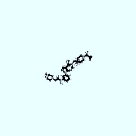 O=C(CN1CCS(=O)(=O)CC1)Nc1cccc(-n2ncc3c(=O)n(CC4(O)CCN(C(=O)C5CC5)CC4)cnc32)c1